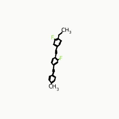 CCCc1ccc(C#Cc2ccc(C#Cc3ccc(C)cc3)cc2F)cc1F